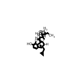 CCC(C)(C)[C@@](C)(O)[C@H]1C[C@@]23CC[C@]1(OC)[C@@H]1Oc4c(O)ccc5c4[C@@]12CCN(CC1CC1)[C@@H]3C5